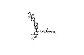 CCOC(=O)CCCOc1cc(OC)c(Cl)cc1-c1cn2ccc(N3CCN(S(=O)(=O)C4CC4)CC3)cc2n1